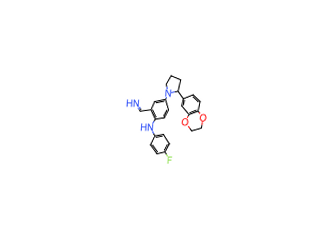 N=Cc1cc(N2CCCC2c2ccc3c(c2)OCCO3)ccc1Nc1ccc(F)cc1